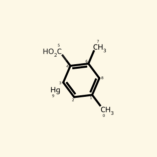 Cc1ccc(C(=O)O)c(C)c1.[Hg]